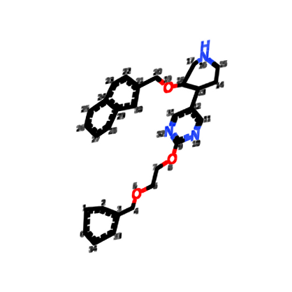 c1ccc(COCCOc2ncc(C3CCNCC3OCc3ccc4ccccc4c3)cn2)cc1